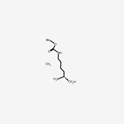 C.CC(C)(C)OC(=O)NCCCC[C@H](N)C(=O)O